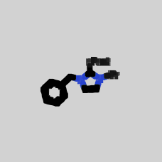 CCCCCC1N(Cc2ccccc2)C=CN1C(C)C